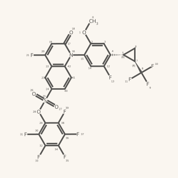 COc1cc([C@@H]2C[C@H]2C(F)(F)F)c(F)cc1-n1c(=O)cc(F)c2cc(S(=O)(=O)Oc3c(F)c(F)c(F)c(F)c3F)ccc21